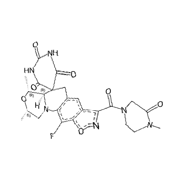 C[C@H]1CN2c3c(cc4c(C(=O)N5CCN(C)C(=O)C5)noc4c3F)CC3(C(=O)NC(=O)NC3=O)[C@@H]2[C@@H](C)O1